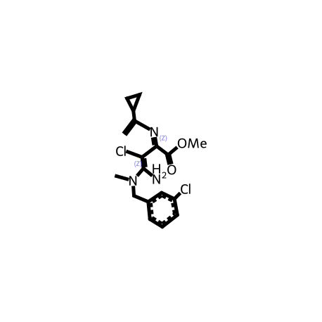 C=C(/N=C(C(=O)OC)\C(Cl)=C(/N)N(C)Cc1cccc(Cl)c1)C1CC1